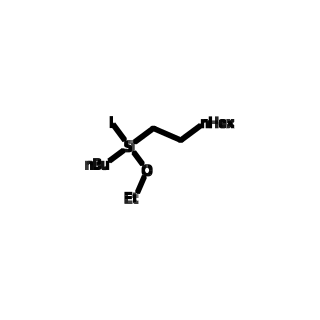 CCCCCCCC[Si](I)(CCCC)OCC